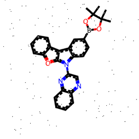 CC1(C)OB(c2ccc3c(c2)c2c4ccccc4oc2n3-c2cnc3ccccc3n2)OC1(C)C